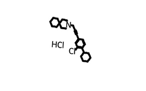 Cl.Clc1cc(C#CCN2CCC3(CCCCC3)CC2)ccc1C1CCCCC1